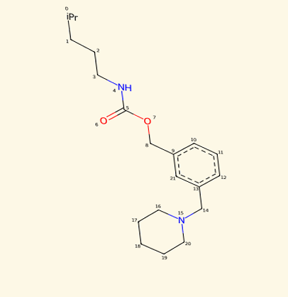 CC(C)CCCNC(=O)OCc1cccc(CN2CCCCC2)c1